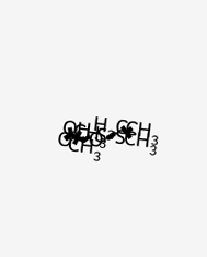 CC(C)(C)SCCSOCCC(C)(C)C(=O)O